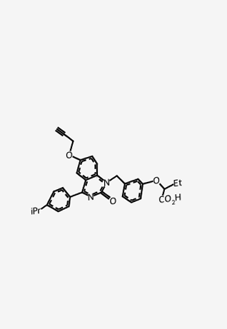 C#CCOc1ccc2c(c1)c(-c1ccc(C(C)C)cc1)nc(=O)n2Cc1cccc(OC(CC)C(=O)O)c1